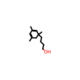 CC1=CC(C)(CCCCO)CC(C)=C1